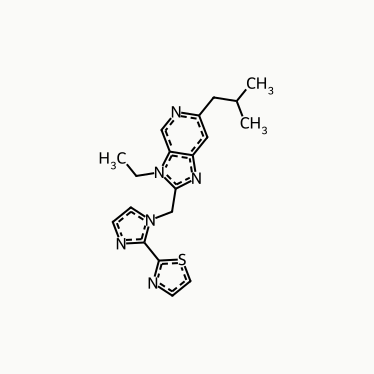 CCn1c(Cn2ccnc2-c2nccs2)nc2cc(CC(C)C)ncc21